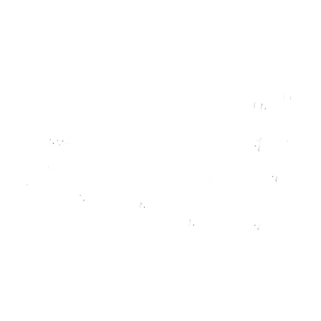 CCNC(=O)Nc1ncnc(CN2CCN(c3ccc(C(=O)NC)nc3F)CC2)c1F